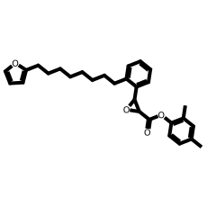 Cc1ccc(OC(=O)C2OC2c2ccccc2CCCCCCCCc2ccco2)c(C)c1